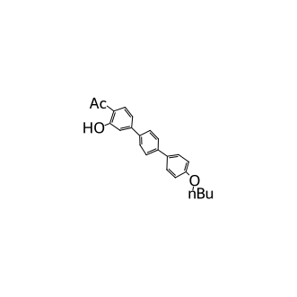 CCCCOc1ccc(-c2ccc(-c3ccc(C(C)=O)c(O)c3)cc2)cc1